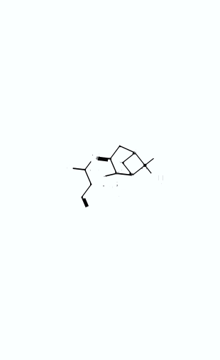 C=C[C@@H](O)C(/N=C1/CC2CC(C2(C)C)[C@@]1(C)O)C(=O)O